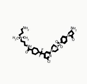 C[N+](C)(CCCN)CCCNC(=O)C1CCC(C(F)(F)c2cc(Cl)nc(N3CCN(S(=O)(=O)c4ccc(N5C[C@H](N)CC5=O)cc4)CC3)c2)CC1